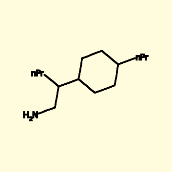 CCCC1CCC(C(CN)CCC)CC1